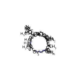 COC1C(=O)C2C[C@H](C)/C=C/C=C/C=C(\C)[C@@H](OC)C[C@@H](C)CC[C@@H](C)[C@](C)(O)C(=O)C(=O)N3CCCC[C@H]3C(=O)O[C@H]([C@H](C)C[C@@H]3CC[C@H](n4ncnn4)[C@H](OC)C3)CC(=O)[C@H](C)/C=C(\C)[C@H]1O2